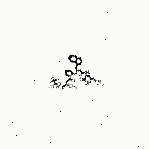 CSCCC(NC(=O)CN(Cc1cccc2ccccc12)C[C@@H]1CCCN1C(=O)CN(C)C)C(=O)O.O=C(O)C(F)(F)F